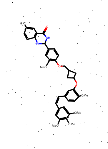 COc1cc(C2NC(=O)c3cc(C)ccc3N2)ccc1OCC1CC(Oc2cc(/C=C\c3cc(OC)c(OC)c(OC)c3)ccc2OC)C1